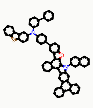 c1ccc(-c2cccc(N(c3ccc(-c4ccc5oc6c(c5c4)c4ccccc4c4c5cc7c8ccccc8c8ccccc8c7cc5n(-c5ccc7ccccc7c5)c64)cc3)c3ccc4sc5ccccc5c4c3)c2)cc1